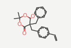 C=Cc1ccc(CC2(Cc3ccccc3)C(=O)OC(C)(C)OC2=O)cc1